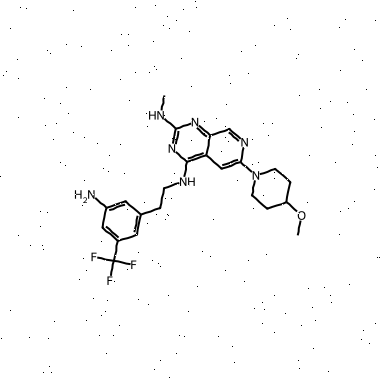 CNc1nc(NCCc2cc(N)cc(C(F)(F)F)c2)c2cc(N3CCC(OC)CC3)ncc2n1